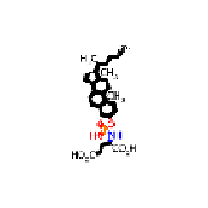 CC(C)CCC[C@@H](C)[C@H]1CCC2C3CCC4C[C@@H](OP(=O)(O)N[C@@H](CCC(=O)O)C(=O)O)CC[C@]4(C)C3CC[C@@]21C